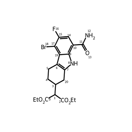 CCOC(=O)C(C(=O)OCC)C1CCc2c([nH]c3c(C(N)=O)cc(F)c(Br)c23)C1